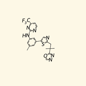 Cc1cc(Nc2nccc(C(F)(F)F)n2)cc(-c2cnc(CC(C)(C)c3nnco3)s2)c1